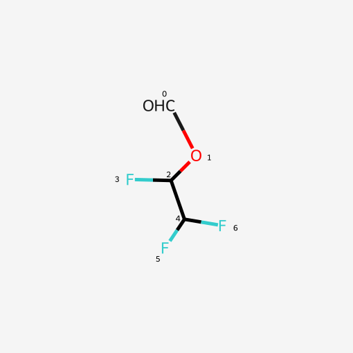 O=COC(F)C(F)F